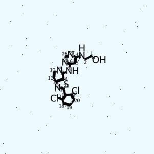 OCCNc1cc(Nc2nccc3nc(-c4c(Cl)cccc4Cl)sc23)ncn1